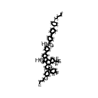 CCCCC[C@H]1CC[C@H](c2ccc(-c3ccc(C(=O)Nc4ccc(-c5ccc6c(c5)-c5c(c7c(c8cc(C(F)(F)F)ccc58)OC(c5ccc(F)cc5)(c5ccc(OCCCC)cc5)C=C7)C6(C)O)cc4)cc3)cc2)CC1